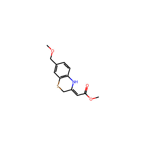 COCc1ccc2c(c1)SC/C(=C/C(=O)OC)N2